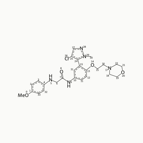 COc1ccc(NCC(=O)Nc2ccc(OCCN3CCOCC3)c(-c3c(Cl)cnn3C)c2)cc1